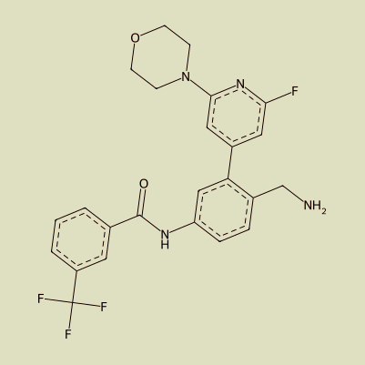 NCc1ccc(NC(=O)c2cccc(C(F)(F)F)c2)cc1-c1cc(F)nc(N2CCOCC2)c1